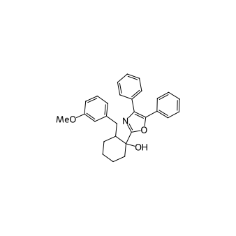 COc1cccc(CC2CCCCC2(O)c2nc(-c3ccccc3)c(-c3ccccc3)o2)c1